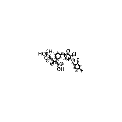 CC(C)(O)CC(=O)n1c(=O)n(C(=O)CO)c2cc(Cn3cnc(OCc4ccc(F)cc4F)c(Cl)c3=O)ccc21